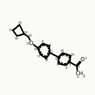 CC(=O)c1ccc(-c2ccc(OCC3CCC3)cc2)cc1